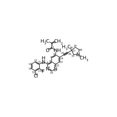 C=C(C)C(=O)Nc1cc2c(Nc3cccc(Cl)c3F)ncnc2cc1C#CC1(C)CCN(C)C1